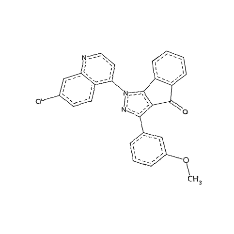 COc1cccc(-c2nn(-c3ccnc4cc(Cl)ccc34)c3c2C(=O)c2ccccc2-3)c1